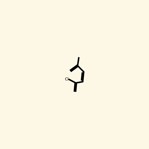 C=C(C)/C=C\C(=C)Cl